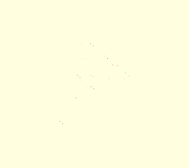 CCC(CC)(CCC#N)c1nc2c([nH]1)-c1ccncc1Nc1ncccc1-2